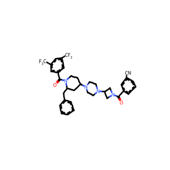 N#Cc1cccc(C(=O)N2CC(N3CCN(C4CCN(C(=O)c5cc(C(F)(F)F)cc(C(F)(F)F)c5)C(Cc5ccccc5)C4)CC3)C2)c1